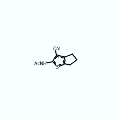 [CH2]C(=O)Nc1sc2c(c1C#N)CCC2